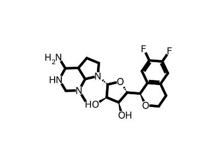 CN1CNC(N)C2CCN([C@@H]3O[C@H]([C@@H]4OCCc5cc(F)c(F)cc54)[C@@H](O)[C@H]3O)C21